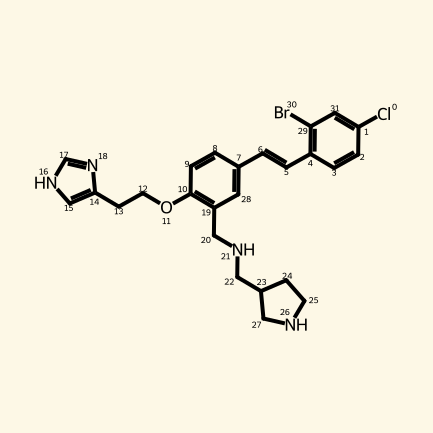 Clc1ccc(/C=C/c2ccc(OCCc3c[nH]cn3)c(CNCC3CCNC3)c2)c(Br)c1